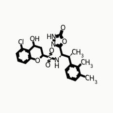 Cc1cccc([C@@H](C)[C@H](NS(=O)(=O)C2CC(O)c3c(Cl)cccc3O2)c2n[nH]c(=O)o2)c1C